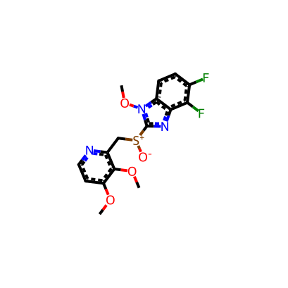 COc1ccnc(C[S+]([O-])c2nc3c(F)c(F)ccc3n2OC)c1OC